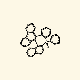 O=P1(c2ccccc2)c2ccccc2-c2c(c3ccccc3c3nnccc23)-c2c1ccc1ccccc21